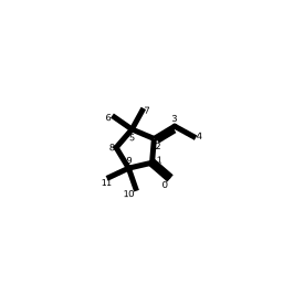 C=C1/C(=C\C)C(C)(C)CC1(C)C